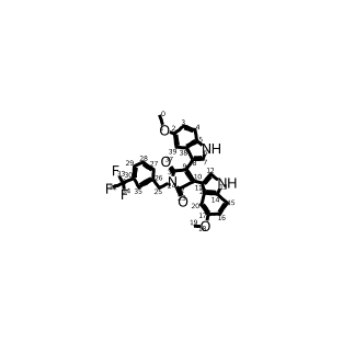 COc1ccc2[nH]cc(C3=C(c4c[nH]c5ccc(OC)cc45)C(=O)N(Cc4cccc(C(F)(F)F)c4)C3=O)c2c1